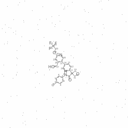 O=C(Nc1ccc(F)cc1)C1(c2ccc(-c3cnc(OCC(F)(F)F)cc3CO)cc2)COC1